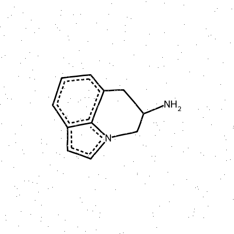 NC1Cc2cccc3ccn(c23)C1